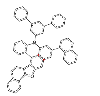 c1ccc(-c2cc(-c3ccccc3)cc(N(c3cccc(-c4cccc5ccccc45)c3)c3ccccc3-c3cccc4oc5c6ccccc6ccc5c34)c2)cc1